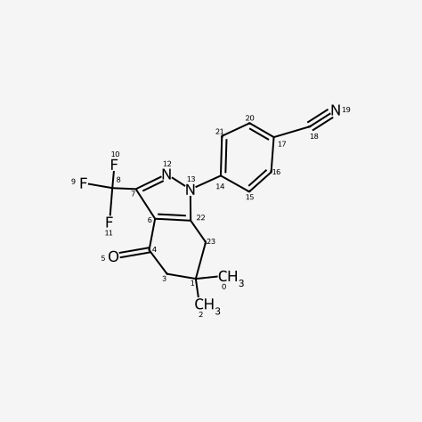 CC1(C)CC(=O)c2c(C(F)(F)F)nn(-c3ccc(C#N)cc3)c2C1